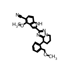 COCc1ccccc1C1CCCn2nc(-c3cc4c(OC)c(C#N)ccc4[nH]3)nc21